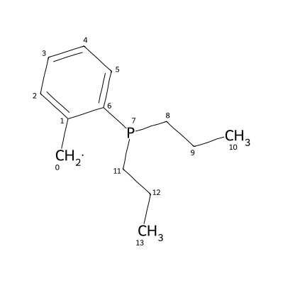 [CH2]c1ccccc1P(CCC)CCC